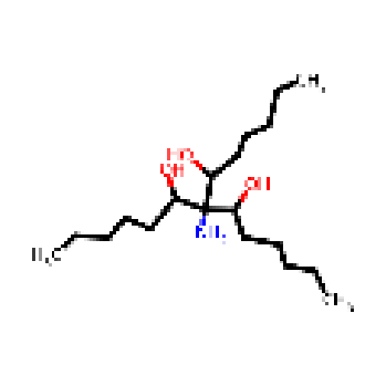 CCCCCC(O)C(N)(C(O)CCCCC)C(O)CCCCC